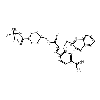 CC(C)(C)OC(=O)N1CCC(CNC(=O)c2cc3ccc(C(=N)N)cc3n2Cc2ccc3ccccc3c2)CC1